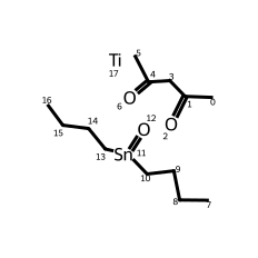 CC(=O)CC(C)=O.CCC[CH2][Sn](=[O])[CH2]CCC.[Ti]